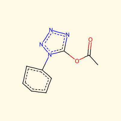 CC(=O)Oc1nnnn1-c1ccccc1